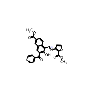 COC(=O)c1ccc2c(/N=N/c3ccsc3C(=O)OC)c(O)c(C(=O)c3ccncc3)cc2c1